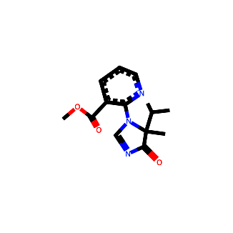 COC(=O)c1cccnc1N1C=NC(=O)C1(C)C(C)C